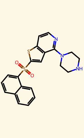 O=S(=O)(c1cc2c(N3CCNCC3)nccc2s1)c1cccc2ccccc12